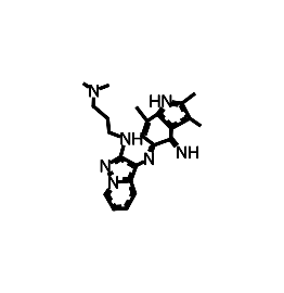 CC1=C/C(=N\c2c(NCCCN(C)C)nn3ccccc23)C(=N)c2c1[nH]c(C)c2C